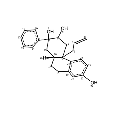 C=CCC12CC(O)C(O)(c3ccccc3)C[C@H]1CCc1cc(O)ccc12